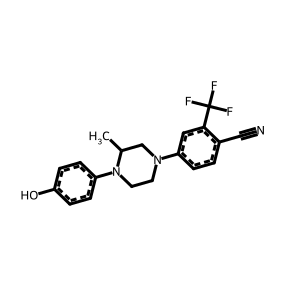 CC1CN(c2ccc(C#N)c(C(F)(F)F)c2)CCN1c1ccc(O)cc1